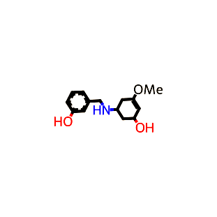 COC1=CC(O)CC(NCc2cccc(O)c2)C1